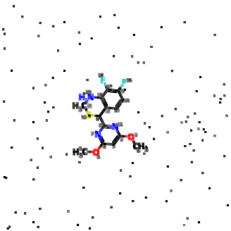 COc1cc(OC)nc(C(SC)c2ccc(F)c(F)c2N)n1